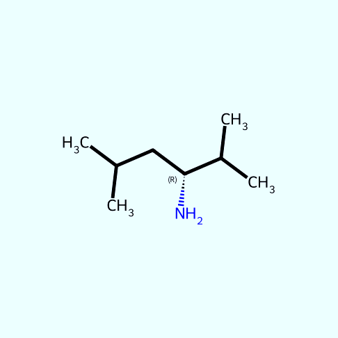 CC(C)C[C@@H](N)C(C)C